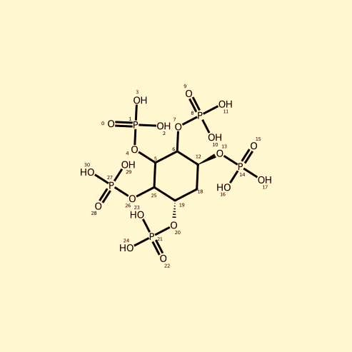 O=P(O)(O)OC1C(OP(=O)(O)O)[C@@H](OP(=O)(O)O)C[C@H](OP(=O)(O)O)C1OP(=O)(O)O